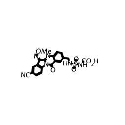 CON=C1c2cc(C#N)ccc2-n2c1nc1ccc(CNS(=O)(=O)NC(=O)O)cc1c2=O